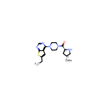 CO[C@H]1CN[C@H](C(=O)N2CCN(c3ncnc4sc(CC(F)(F)F)cc34)CC2)C1